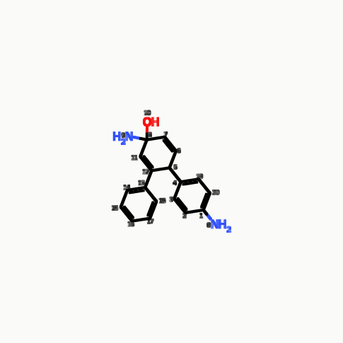 Nc1ccc(C2C=CC(N)(O)C=C2c2ccccc2)cc1